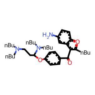 CCCCc1oc2ccc(N)cc2c1C(=O)c1ccc(OC(CCN(CCCC)CCCC)N(CCCC)CCCC)cc1